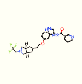 O=C(Nc1c[nH]c2ccc(OCCC3C[C@@H]4CN(CC(F)(F)F)C[C@@H]4C3)cc12)c1cccnc1